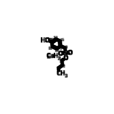 CCCCOS(=O)(=O)Cc1ccc(O)cc1.[CaH2]